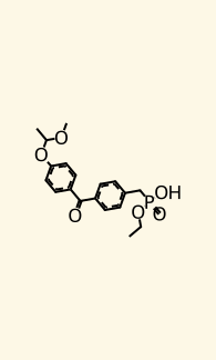 CCOP(=O)(O)Cc1ccc(C(=O)c2ccc(OC(C)OC)cc2)cc1